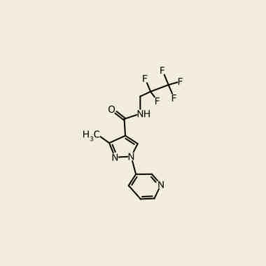 Cc1nn(-c2cccnc2)cc1C(=O)NCC(F)(F)C(F)(F)F